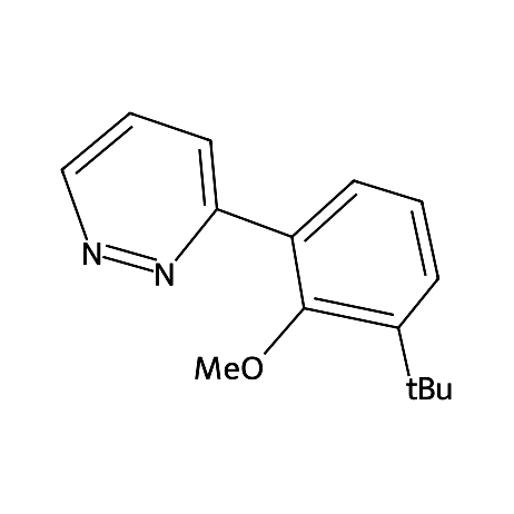 COc1c(-c2cccnn2)cccc1C(C)(C)C